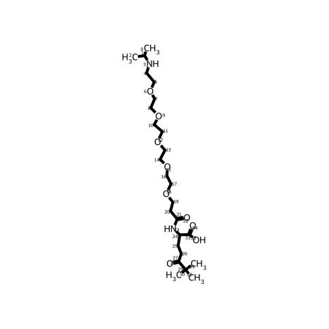 CC(C)NCCOCCOCCOCCOCCOCCC(=O)NC(CCC(=O)C(C)(C)C)C(=O)O